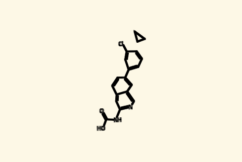 C1CC1.O=C(O)Nc1cc2ccc(-c3cccc(Cl)c3)cc2cn1